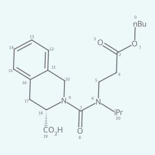 CCCCOC(=O)CCN(C(=O)N1Cc2ccccc2C[C@H]1C(=O)O)C(C)C